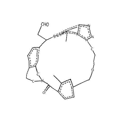 Cc1cc2ccc1C(=O)N1CCc3ccc(cc3C1)C(CC=O)c1ccc3c(nnn3CCCOC2)c1C